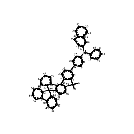 CC1(C)c2cc(-c3ccc(N(c4ccccc4)c4ccc5ccccc5c4)cc3)ccc2-c2c1ccc1c2-c2ccccc2C12c1ccccc1-c1ccccc12